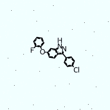 Fc1ccccc1Oc1ccc2c(-c3ccc(Cl)cc3)n[nH]c2c1